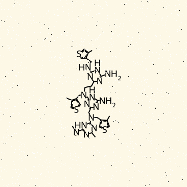 Cc1cscc1CNC1=NC(CCN(Cc2cscc2C)C2=NC(CN(Cc3cscc3C)C3=NC(C)N=C(N(C)C)N3)N=C(N)N2)N=C(N)N1